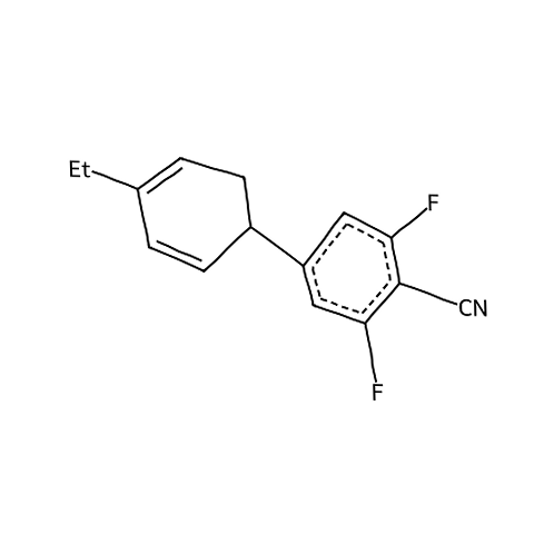 CCC1=CCC(c2cc(F)c(C#N)c(F)c2)C=C1